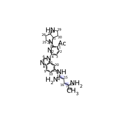 CC(=O)c1ccc(-n2cnc3ccc(N/C(N)=C/C=C(/C)N)cc32)nc1N1CCC2NCCC21